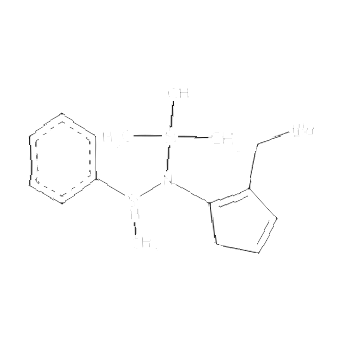 C[SiH](c1ccccc1)N(C1=C(CC(C)(C)C)C=CC1)[Si](C)(C)C